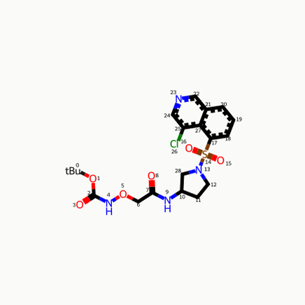 CC(C)(C)OC(=O)NOCC(=O)NC1CCN(S(=O)(=O)c2cccc3cncc(Cl)c23)C1